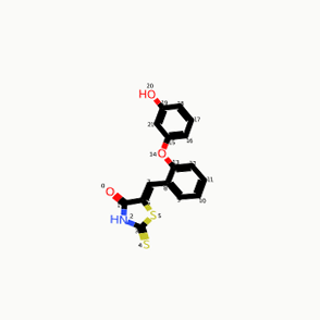 O=C1NC(=S)S/C1=C\c1ccccc1Oc1cccc(O)c1